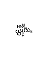 O=C(NC1Cc2cc(Br)ccc2N(Cc2c[nH]cn2)C1)c1cccc2ccccc12